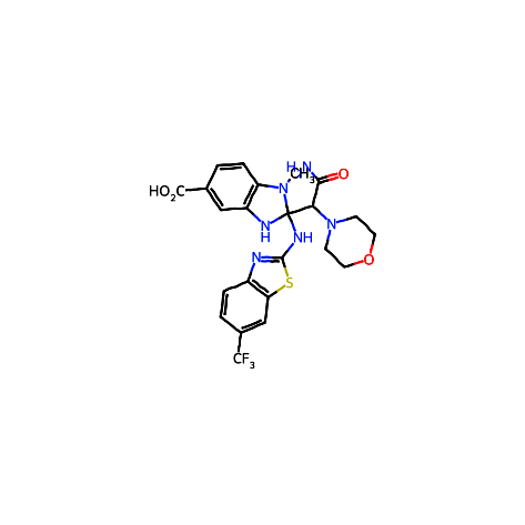 CN1c2ccc(C(=O)O)cc2NC1(Nc1nc2ccc(C(F)(F)F)cc2s1)C(C(N)=O)N1CCOCC1